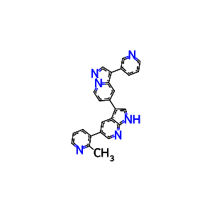 Cc1ncccc1-c1cnc2[nH]cc(-c3ccn4ncc(-c5cccnc5)c4c3)c2c1